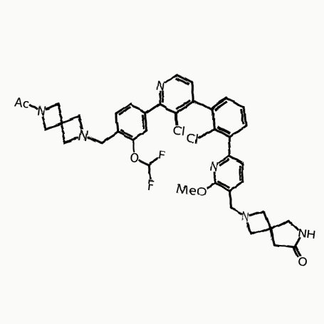 COc1nc(-c2cccc(-c3ccnc(-c4ccc(CN5CC6(C5)CN(C(C)=O)C6)c(OC(F)F)c4)c3Cl)c2Cl)ccc1CN1CC2(CNC(=O)C2)C1